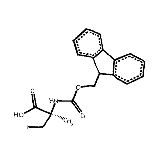 C[C@@](CI)(NC(=O)OCC1c2ccccc2-c2ccccc21)C(=O)O